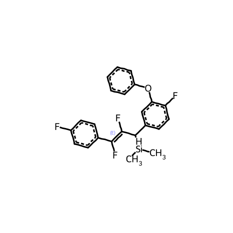 C[SiH](C)C(/C(F)=C(\F)c1ccc(F)cc1)c1ccc(F)c(Oc2ccccc2)c1